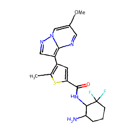 COc1cnc2c(-c3cc(C(=O)NC4C(N)CCCC4(F)F)sc3C)cnn2c1